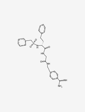 N=C(N)c1ccc(CNC(=O)CNC(=O)[C@@H](CCc2ccccc2)NS(=O)(=O)Cc2ccccc2)cc1